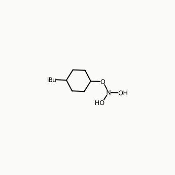 CCC(C)C1CCC(ON(O)O)CC1